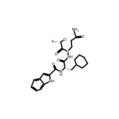 NC(=O)CCN(NC(=O)[C@H](CC1CCCCC1)NC(=O)c1cc2ccccc2[nH]1)C(=O)[C@H](F)Cl